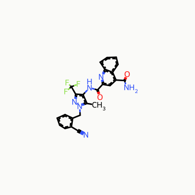 Cc1c(NC(=O)c2cc(C(N)=O)c3ccccc3n2)c(C(F)(F)F)nn1Cc1ccccc1C#N